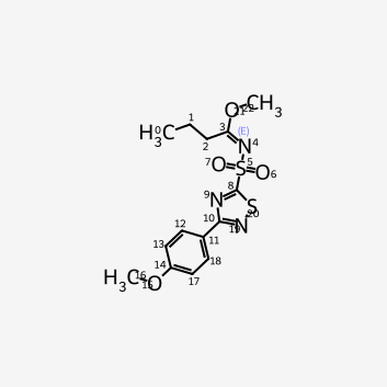 CCC/C(=N\S(=O)(=O)c1nc(-c2ccc(OC)cc2)ns1)OC